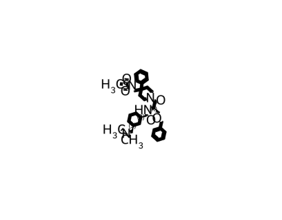 CN(C)C[C@H]1CCC[C@@H](C(=O)N[C@H](COCc2ccccc2)C(=O)N2CCC3(CC2)CN(S(C)(=O)=O)c2ccccc23)C1